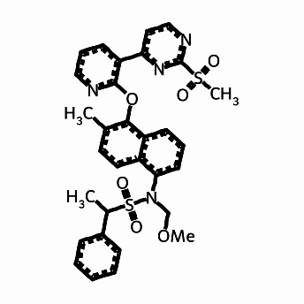 COCN(c1cccc2c(Oc3ncccc3-c3ccnc(S(C)(=O)=O)n3)c(C)ccc12)S(=O)(=O)C(C)c1ccccc1